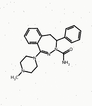 CN1CCN(C2=NN(C(N)=O)C(c3ccccc3)Cc3ccccc32)CC1